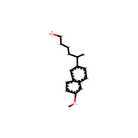 COc1ccc2cc(C(C)CCCCO)ccc2c1